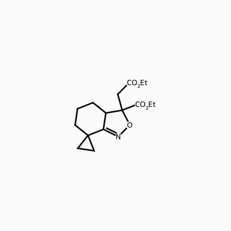 CCOC(=O)CC1(C(=O)OCC)ON=C2C1CCCC21CC1